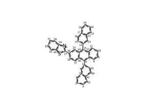 c1ccc2cc(-c3c4ccccc4c(-c4ccc5ccccc5c4)c4cc(-c5nc6ccccc6s5)ccc34)ccc2c1